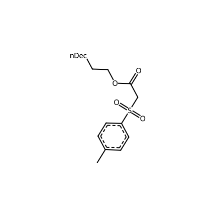 CCCCCCCCCCCCOC(=O)CS(=O)(=O)c1ccc(C)cc1